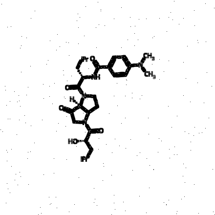 CC(C)C[C@H](NC(=O)c1ccc(N(C)C)cc1)C(=O)N1CCC2[C@H]1C(=O)CN2C(=O)[C@@H](O)CC(C)C